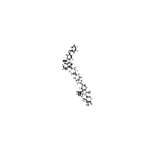 CN(C(=O)c1ccc(N2CC3(CCC(N4CCC(n5nc(-c6ccc(Oc7ccccc7)cc6)c6c(N)ncnc65)CC4)CC3)C2)cc1C=O)C1CCC(=O)NC1=O